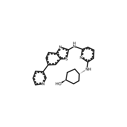 O[C@H]1CC[C@H](Nc2cccc(Nc3nc4ccc(-c5cccnc5)cc4s3)n2)CC1